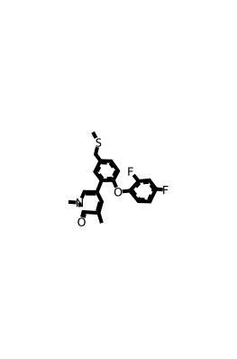 CSCc1ccc(Oc2ccc(F)cc2F)c(C(/C=C(/C)C=O)=C/N(C)C)c1